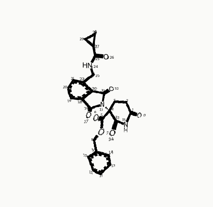 O=C1CC[C@@](C(=O)OCc2ccccc2)(N2C(=O)c3cccc(CNC(=O)C4CC4)c3C2=O)C(=O)N1